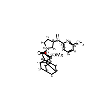 COC(=O)C12CC3CC(C1)C(OC(=O)N1CCC(Nc4nccc(C(F)(F)F)n4)C1)C(C3)C2I